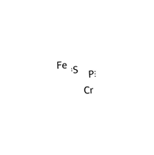 [Cr].[Fe].[P].[S]